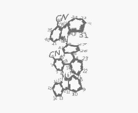 N#Cc1ccc(-n2c3ccccc3c3ccccc32)c(-c2ccccc2-c2ccc(-n3c4ccccc4c4c(C#N)cccc43)cc2)c1